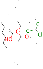 CCCCCC.CCO.CCOC(C)=O.ClC(Cl)Cl